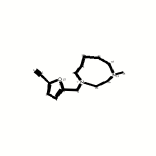 C#Cc1ccc(CN2CCCCCN(C)CC2)o1